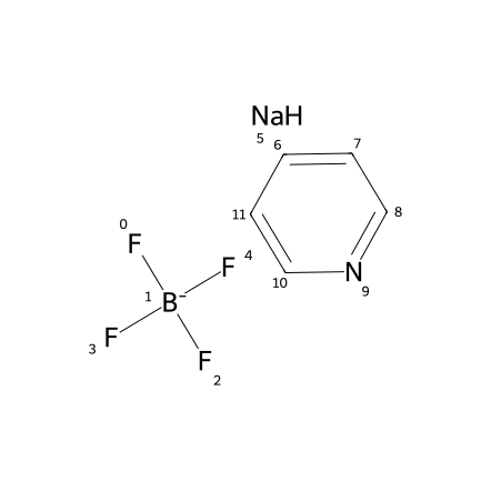 F[B-](F)(F)F.[NaH].c1ccncc1